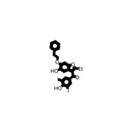 CCc1oc2cc(OCCc3ccccc3)c(O)cc2c1C(=O)c1cc(I)c(O)c(I)c1